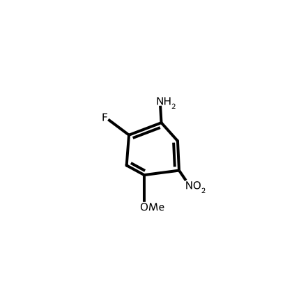 COc1cc(F)c(N)cc1[N+](=O)[O-]